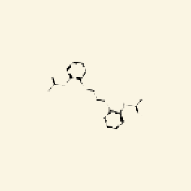 CC(=O)Nc1ccccc1OCCOc1ccccc1NC(C)=O